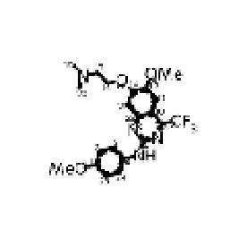 COc1ccc(Nc2nc(C(F)(F)F)c3cc(OC)c(OCCN(C)C)cc3n2)cc1